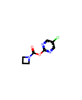 O=C(Oc1ncc(Cl)cn1)N1CCC1